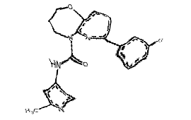 Cc1cc(NC(=O)N2CCCOc3ccc(-c4cccc(Cl)c4)nc32)ccn1